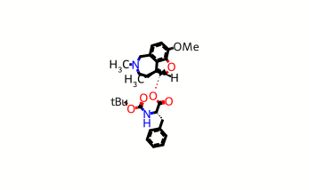 COc1ccc2c3c1O[C@H]1C[C@H](OC(=O)[C@H](Cc4ccccc4)NC(=O)OC(C)(C)C)C(C)[C@@]31CCN(C)C2